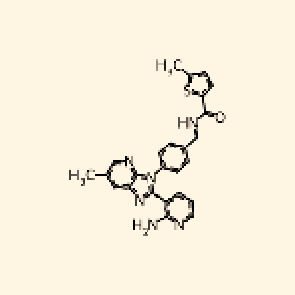 Cc1cnc2c(c1)nc(-c1cccnc1N)n2-c1ccc(CNC(=O)c2ccc(C)s2)cc1